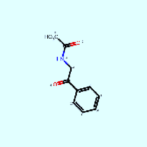 O=C(O)C(=O)NCC(=O)c1ccccc1